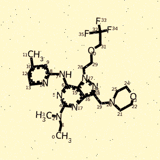 CCN(C)c1nc(Nc2cc(C)ccn2)c2c(n1)c(CN1CCOCC1)nn2CCOCC(F)(F)F